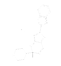 CC1(C2CCNCC2)N=CC2=NC(c3cc4ccccc4s3)=CC2=N1.Cl.O